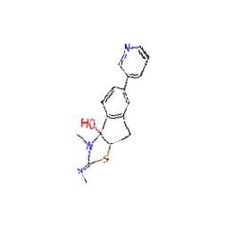 C/N=C1\SC2Cc3cc(-c4cccnc4)ccc3C2(O)N1C